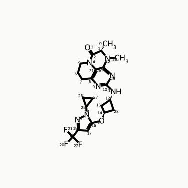 C[C@H]1C(=O)N2CCCc3nc(N[C@H]4C[C@H](Oc5cc(C(F)(F)F)nn5C5CC5)C4)nc(c32)N1C